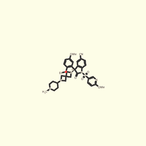 CCOc1ccc(OC)cc1[C@@]1(N2CC3(CN(C4CCN(C)CC4)C3)C2)C(=O)N(S(=O)(=O)c2ccc(OC)nc2)c2ccc(C#N)cc21